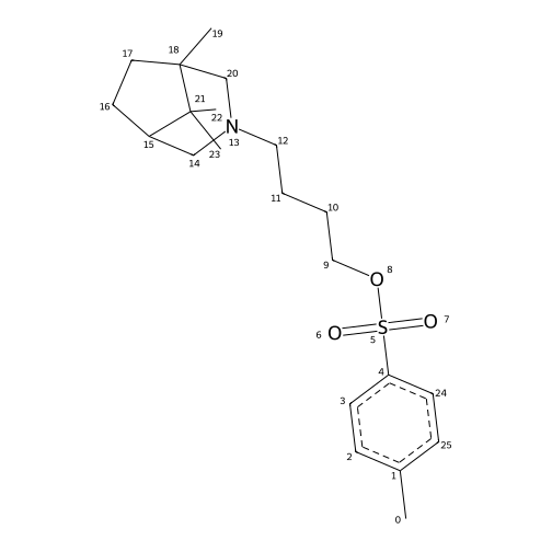 Cc1ccc(S(=O)(=O)OCCCCN2CC3CCC(C)(C2)C3(C)C)cc1